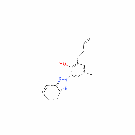 C=CCCc1cc(C)cc(-n2nc3ccccc3n2)c1O